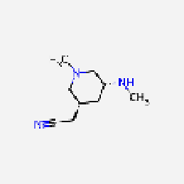 CN[C@@H]1C[C@@H](CC#N)CN(C)C1